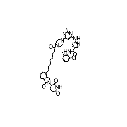 Cc1nc(Nc2ncc(C(=O)Nc3c(C)cccc3Cl)s2)cc(N2CCN(C(=O)CCCCCCCc3cccc4c3CN(C3CCC(=O)NC3=O)C4=O)CC2)n1